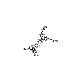 CCCCOCCCc1ccc2c(c1)c1cc(CCCOCCCC)ccc1n2-c1ccc(-c2ccc(-n3c4ccc(CCCC)cc4c4cc(CCCC)ccc43)cc2)cc1